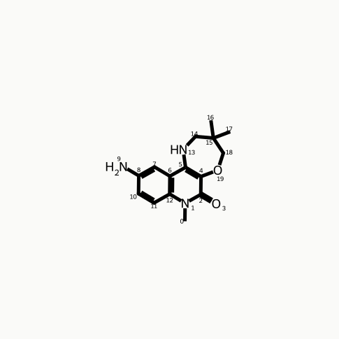 Cn1c(=O)c2c(c3cc(N)ccc31)NCC(C)(C)CO2